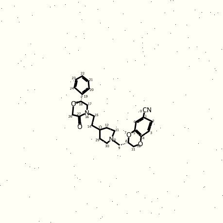 N#Cc1ccc2c(c1)O[C@@H](CN1CCC(CCN3C[C@@H](c4ccccc4)OCC3=O)CC1)CO2